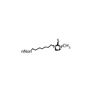 CCCCCCCCCCCCCCCCn1ccn(C)c1=S